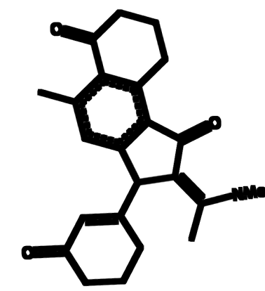 CN/C(C)=C1\C(=O)c2c(cc(C)c3c2CCCC3=O)C1C1=CC(=O)CCC1